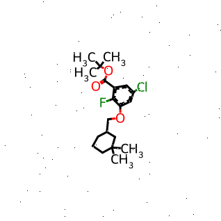 CC1(C)CCCC(COc2cc(Cl)cc(C(=O)OC(C)(C)C)c2F)C1